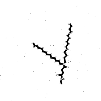 [CH2]CNC(=O)CCC(=O)N(CCCCCCCCCCCCCC)CCCCCCCCCCCCCC